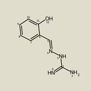 N=C(N)NN=Cc1ccccc1O